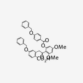 COc1cc(OC)c(C(=O)Cc2cc(OCc3ccccc3)ccc2C(=O)O)c(OC(=O)c2ccc(OCc3ccccc3)cc2)c1